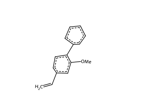 C=Cc1ccc(-c2ccccc2)c(OC)c1